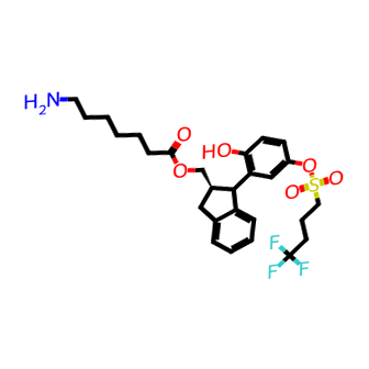 NCCCCCCC(=O)OC[C@@H]1Cc2ccccc2C1c1cc(OS(=O)(=O)CCCC(F)(F)F)ccc1O